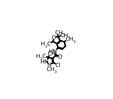 CC1CC=C(NC(=O)C2=C(Cl)N(C)NC2(C)C)C2=C1C(C)(C)OC2C